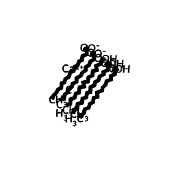 CCCCCCCCCCCCCCCCCC(=O)O.CCCCCCCCCCCCCCCCCC(=O)O.CCCCCCCCCCCCCCCCCC(=O)O.CCCCCCCCCCCCCCCCCC(=O)[O-].CCCCCCCCCCCCCCCCCC(=O)[O-].[Ca+2]